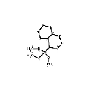 CC[Si](NC)(OC)C1NCCC2CCCCC21